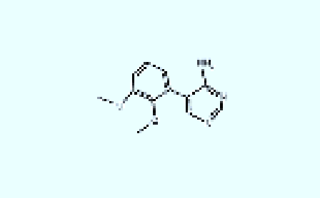 COc1cccc(-c2cncnc2N)c1OC